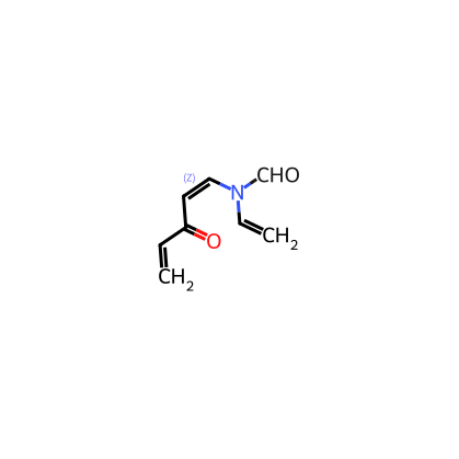 C=CC(=O)/C=C\N(C=C)C=O